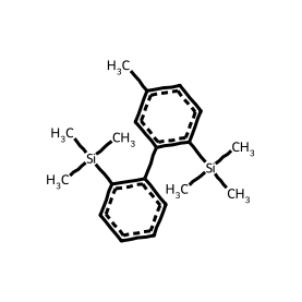 Cc1ccc([Si](C)(C)C)c(-c2ccccc2[Si](C)(C)C)c1